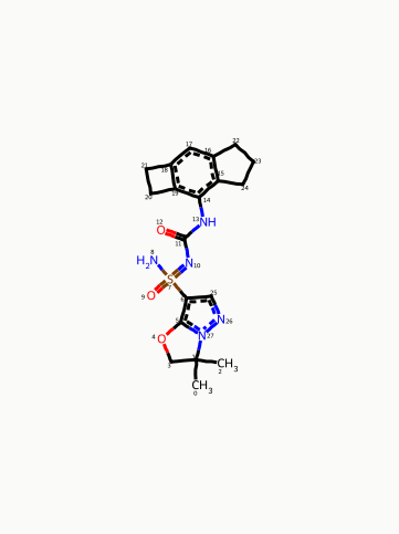 CC1(C)COc2c(S(N)(=O)=NC(=O)Nc3c4c(cc5c3CC5)CCC4)cnn21